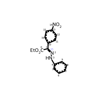 CCOC(=O)/C(=N\Nc1ccccc1)c1ccc([N+](=O)[O-])cc1